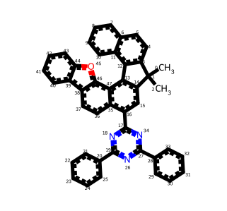 CC1(C)c2ccc3ccccc3c2-c2c1cc(-c1nc(-c3ccccc3)nc(-c3ccccc3)n1)c1ccc3c4ccccc4oc3c21